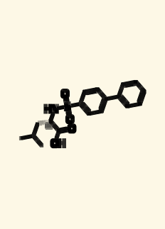 CC(C)C[C@H](NS(=O)(=O)c1ccc(-c2ccccc2)cc1)C(=O)O